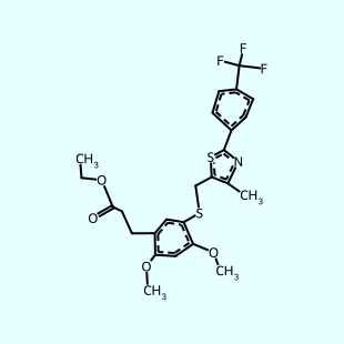 CCOC(=O)CCc1cc(SCc2sc(-c3ccc(C(F)(F)F)cc3)nc2C)c(OC)cc1OC